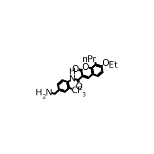 CCCc1c(OCC)ccc2cc(C(=O)Nc3ccc(CN)cc3C(F)(F)F)c(=O)oc12